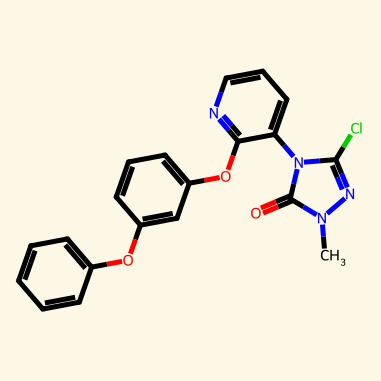 Cn1nc(Cl)n(-c2cccnc2Oc2cccc(Oc3ccccc3)c2)c1=O